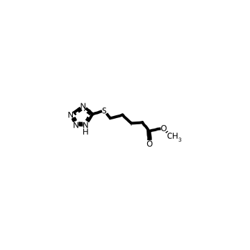 COC(=O)C[CH]CCSc1nnn[nH]1